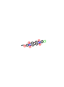 C#CCOc1ccc(N2C(=O)c3ccc4c5ccc6c7c(ccc(c8ccc(c3c48)C2=O)c75)C(=O)N(c2ccc(Cl)cc2)C6=O)cc1